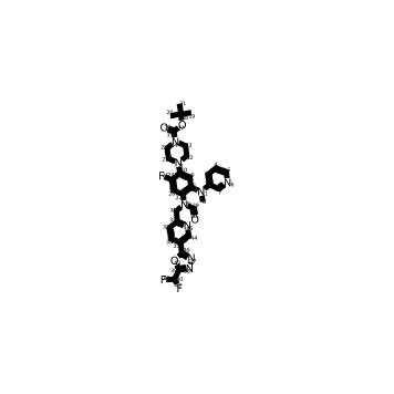 CN(c1cccnc1)c1cc(N2CCN(C(=O)OC(C)(C)C)CC2)c(F)cc1N(C=O)Cc1ccc(-c2nnc(C(F)F)o2)cn1